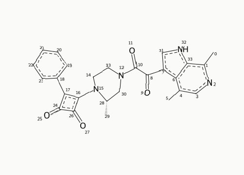 Cc1ncc(C)c2c(C(=O)C(=O)N3CCN(c4c(-c5ccccc5)c(=O)c4=O)[C@@H](C)C3)c[nH]c12